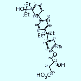 CCC(O)(CC)c1cccc(-c2ccc(C(CC)(CC)c3ccc(OC[C@H](O)CCC(=O)O)c(C)c3)cc2C)c1